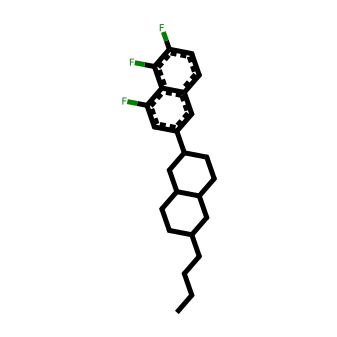 CCCCC1CCC2CC(c3cc(F)c4c(F)c(F)ccc4c3)CCC2C1